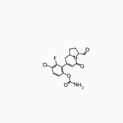 NC(=O)Oc1ccc(Cl)c(F)c1C1=CC(=O)N2C(CC[C@H]2C=O)C1